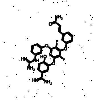 N=C(N)Nc1cccc(Oc2nc(Oc3cc(C(=N)N)ccc3O)c(F)c(Oc3cccc(/C=C/C(N)=O)c3)c2F)c1